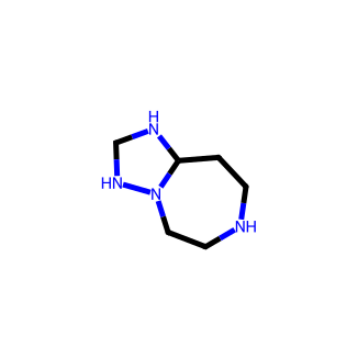 C1CC2NCNN2CCN1